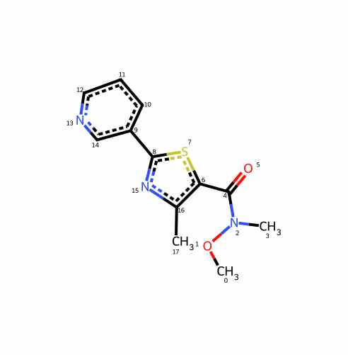 CON(C)C(=O)c1sc(-c2cccnc2)nc1C